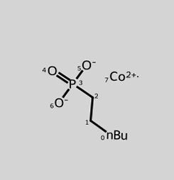 CCCCCCP(=O)([O-])[O-].[Co+2]